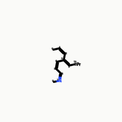 C\C=C/C(/C=C\C=N/C)=C\CCC